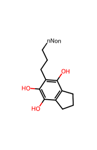 CCCCCCCCCCCCc1c(O)c(O)c2c(c1O)CCC2